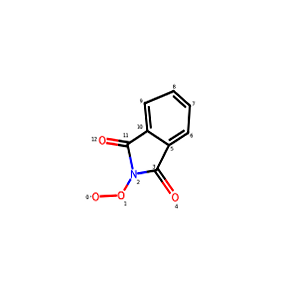 [O]ON1C(=O)c2ccccc2C1=O